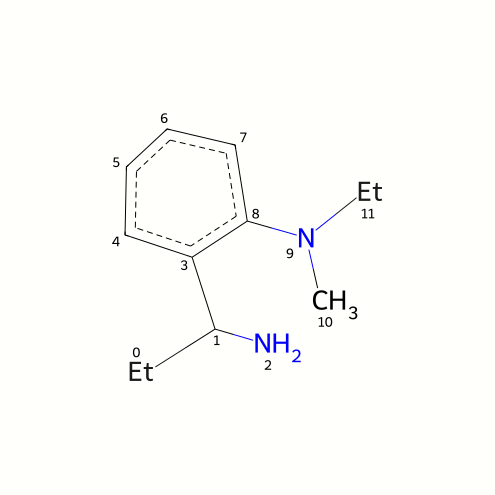 CCC(N)c1ccccc1N(C)CC